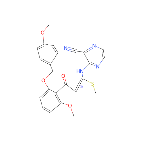 COc1ccc(COc2cccc(OC)c2C(=O)/C=C(\Nc2nccnc2C#N)SC)cc1